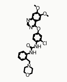 COc1cc2ncnc(Oc3ccc(NC(=O)Nc4ccccc4CN4CCOCC4)c(Cl)c3)c2cc1OC